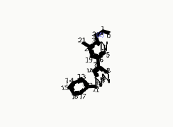 C/C=C\c1ncc(-c2cnn(Cc3ccccc3)c2)cc1C